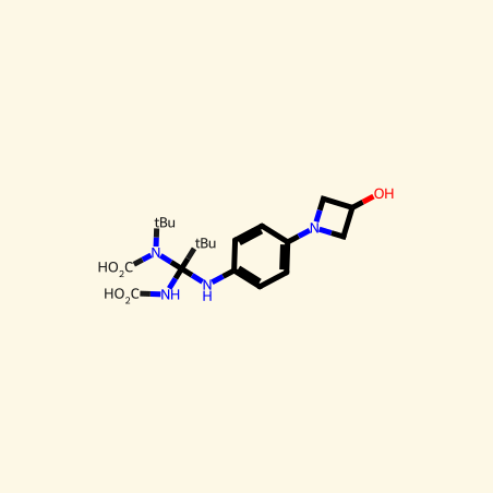 CC(C)(C)N(C(=O)O)C(NC(=O)O)(Nc1ccc(N2CC(O)C2)cc1)C(C)(C)C